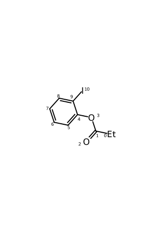 CCC(=O)Oc1ccccc1I